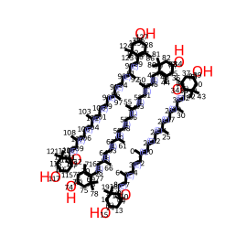 CC(/C=C/C=C(C)/C=C/[C@@]12O[C@]1(C)C[C@@H](O)CC2(C)C)=C\C=C\C=C(C)\C=C\C=C(C)\C=C\[C@@]12O[C@]1(C)C[C@@H](O)CC2(C)C.CC1=C(/C=C/C(C)=C/C=C/C(C)=C/C=C/C=C(C)/C=C/C=C(C)/C=C/C2=C(C)C[C@@H](O)CC2(C)C)C(C)(C)C[C@H](O)C1.CC1=C(/C=C/C(C)=C/C=C/C(C)=C/C=C/C=C(C)/C=C/C=C(C)/C=C/[C@@]23O[C@]2(C)C[C@@H](O)CC3(C)C)C(C)(C)C[C@H](O)C1